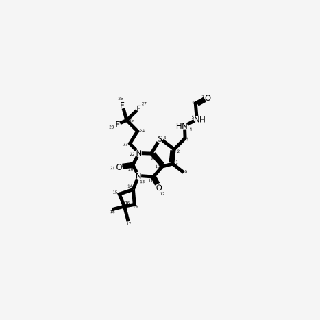 Cc1c(CNNC=O)sc2c1c(=O)n(C1CC(C)(C)C1)c(=O)n2CCC(F)(F)F